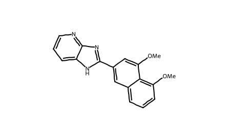 COc1cccc2cc(-c3nc4ncccc4[nH]3)cc(OC)c12